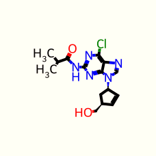 CC(C)C(=O)Nc1nc(Cl)c2ncn([C@H]3C=C[C@@H](CO)C3)c2n1